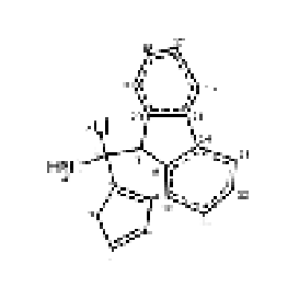 CC(Cl)(C1=CC=CC1)C1c2ccccc2-c2ccccc21